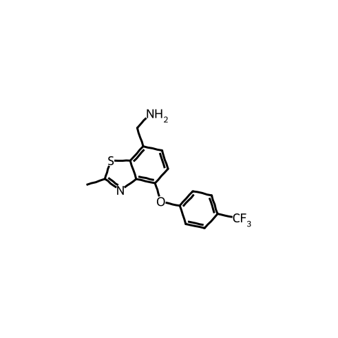 Cc1nc2c(Oc3ccc(C(F)(F)F)cc3)ccc(CN)c2s1